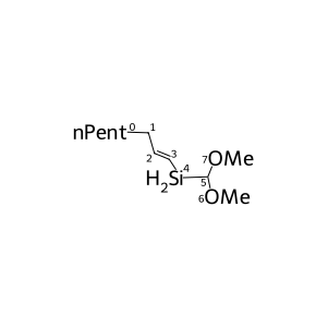 CCCCCCC=C[SiH2]C(OC)OC